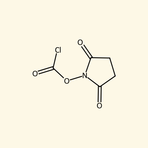 O=C(Cl)ON1C(=O)CCC1=O